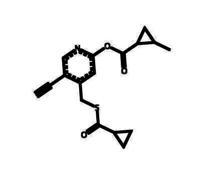 C#Cc1cnc(OC(=O)C2CC2C)cc1CSC(=O)C1CC1